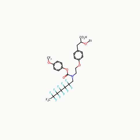 CCOC(Cc1ccc(OCCN(CC(F)(F)C(F)(F)C(F)(F)C(F)(F)C(F)(F)C(F)(F)F)C(=O)Oc2ccc(OC(F)(F)F)cc2)cc1)C(=O)O